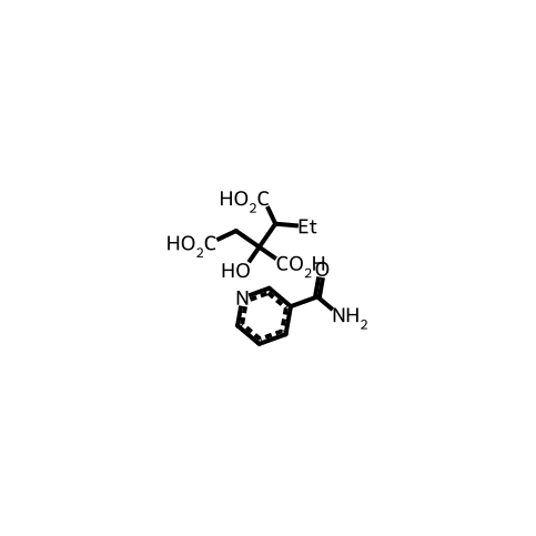 CCC(C(=O)O)C(O)(CC(=O)O)C(=O)O.NC(=O)c1cccnc1